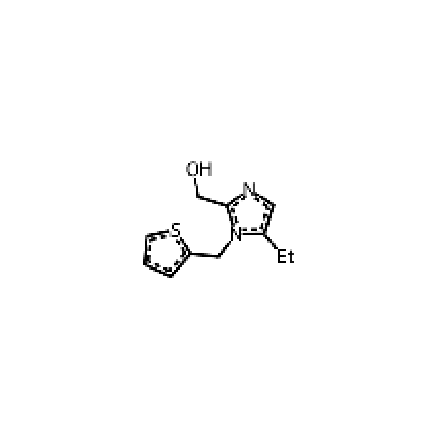 CCc1cnc(CO)n1Cc1cccs1